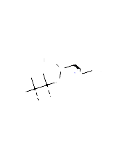 CC(C)(C)/C=C/B(O)OC(C)(C)C(C)(C)O